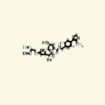 CCOC(COc1cc([C@H](C(=O)N2C[C@H](O)C[C@H]2C(=O)NCc2ccc(-c3scnc3C)cc2)C(C)C)on1)OCC